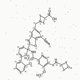 COc1cc(C(=O)NC2(c3nc4cc(CN5CC(C(=O)O)C5)cc(C#N)c4o3)C=CC=C(c3ccccc3Cl)C2C)ncc1CNC1COC1